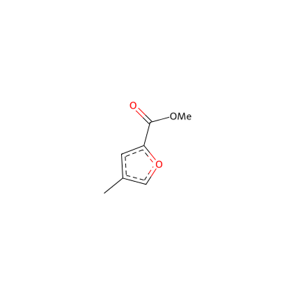 COC(=O)c1cc(C)co1